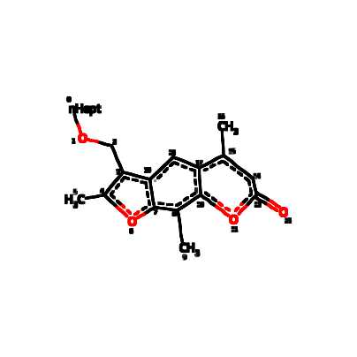 CCCCCCCOCc1c(C)oc2c(C)c3oc(=O)cc(C)c3cc12